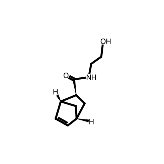 O=C(NCCO)[C@H]1C[C@@H]2C=C[C@H]1C2